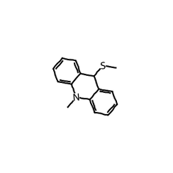 CSC1c2ccccc2N(C)c2ccccc21